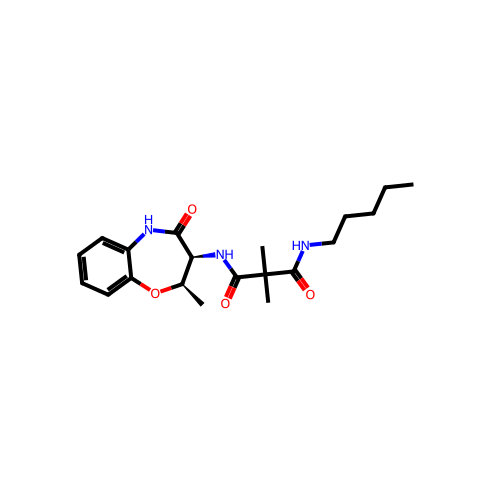 CCCCCNC(=O)C(C)(C)C(=O)N[C@@H]1C(=O)Nc2ccccc2O[C@@H]1C